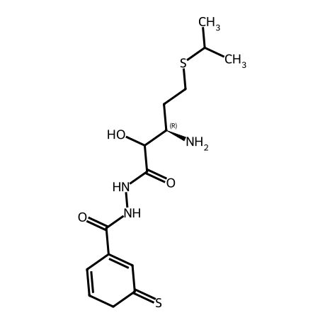 CC(C)SCC[C@@H](N)C(O)C(=O)NNC(=O)C1=CC(=S)CC=C1